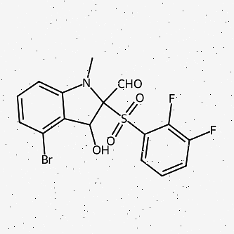 CN1c2cccc(Br)c2C(O)C1(C=O)S(=O)(=O)c1cccc(F)c1F